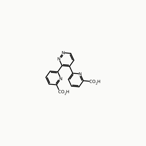 O=C(O)c1cccc(-c2ccnnc2-c2cccc(C(=O)O)n2)n1